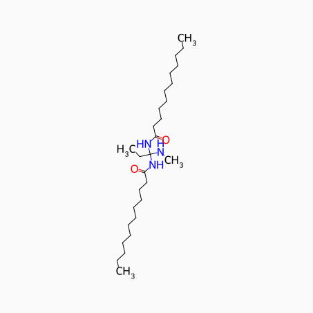 CCCCCCCCCCCC(=O)NC(CC)(NC)NC(=O)CCCCCCCCCCC